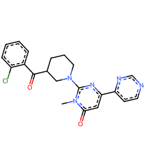 Cn1c(N2CCCC(C(=O)c3ccccc3Cl)C2)nc(-c2ccncn2)cc1=O